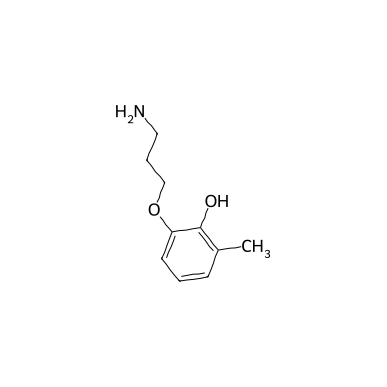 Cc1cccc(OCCCN)c1O